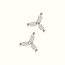 [P]#[Co](#[P])#[P].[P]#[Fe](#[P])#[P]